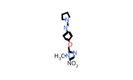 Cn1c([N+](=O)[O-])cnc1COc1ccc(N=CN2CCCC2)cc1